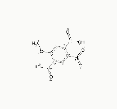 COc1cc(C(=O)O)c(I(=O)=O)cc1C(=O)O